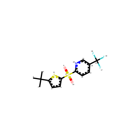 CC(C)(C)c1ccc(S(=O)(=O)c2ccc(C(F)(F)F)cn2)s1